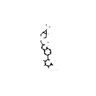 CCc1c(-c2ccc3c(c2)cc(CN2C[C@@H]4C(N(C)C)[C@@H]4C2)n3C)[nH]c(=O)c(C(=O)O)c1O